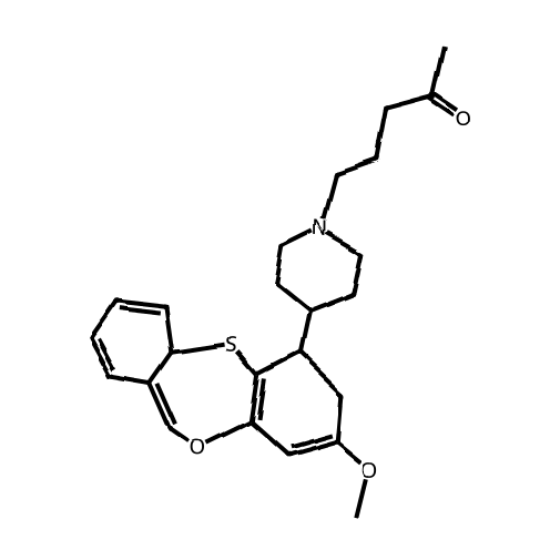 COC1=CC2=C(SC3C=CC=CC3=CO2)C(C2CCN(CCCC(C)=O)CC2)C1